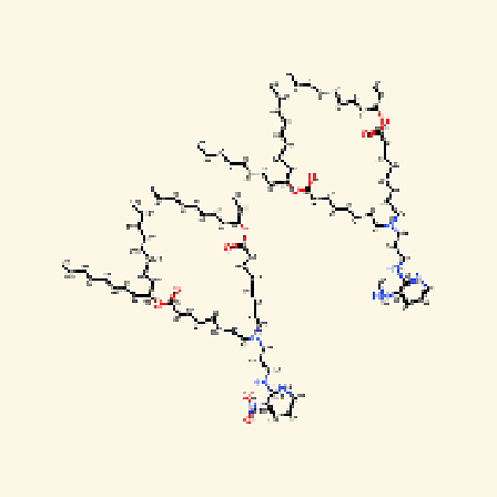 CCCCCCCCC(CC)OC(=O)CCCCCCCN(CCCCCCCC(=O)OC(CCCCCCCC)CCCCCCCC)CCCNc1ncccc1NC.CCCCCCCCC(CC)OC(=O)CCCCCCCN(CCCCCCCC(=O)OC(CCCCCCCC)CCCCCCCC)CCCNc1ncccc1[N+](=O)[O-]